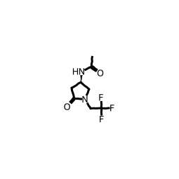 CC(=O)N[C@@H]1CC(=O)N(CC(F)(F)F)C1